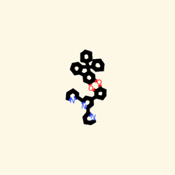 c1ccc(C2(c3ccccc3)c3ccccc3-c3cc4c(cc32)Oc2cccc(-c3cc(-c5ccccn5)nc(-c5ccccn5)c3)c2O4)cc1